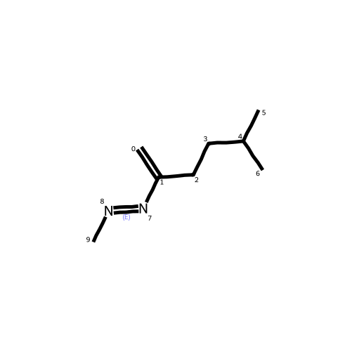 C=C(CCC(C)C)/N=N/C